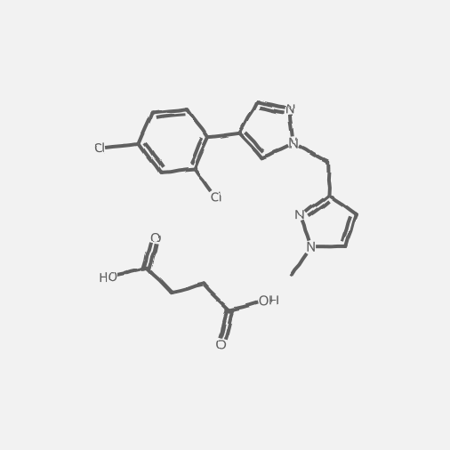 Cn1ccc(Cn2cc(-c3ccc(Cl)cc3Cl)cn2)n1.O=C(O)CCC(=O)O